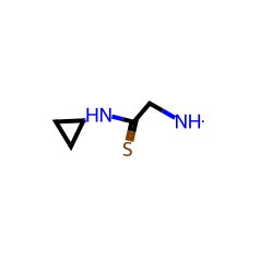 [NH]CC(=S)NC1CC1